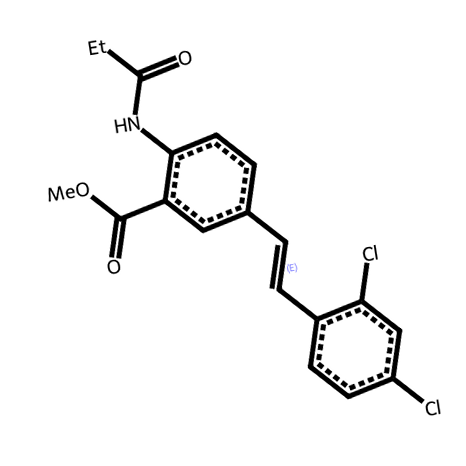 CCC(=O)Nc1ccc(/C=C/c2ccc(Cl)cc2Cl)cc1C(=O)OC